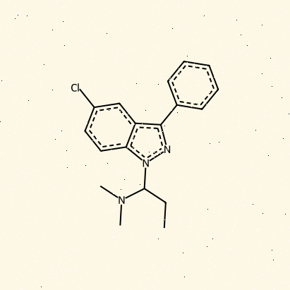 CCC(N(C)C)n1nc(-c2ccccc2)c2cc(Cl)ccc21